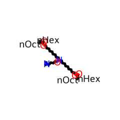 CCCCCCCCC(CCCCCC)C(=O)OCCCCCCCCCN(CCCCCCCCCOC(=O)C(CCCCCC)CCCCCCCC)OCCCCN(C)C